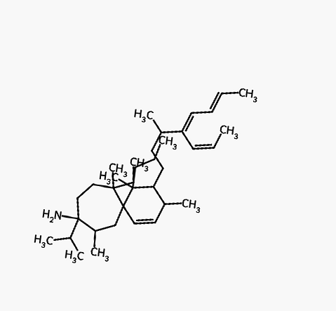 C\C=C/C(=C\C=C\C)C(C)CCC1C(C)C=CC2(CC(C)C(N)(C(C)C)CCC2(C)CC)C1(C)CCC